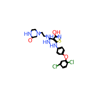 N=C(NCCN1CCNC(=O)C1)c1c(O)nsc1Nc1ccc(Oc2cc(Cl)ccc2Cl)cc1